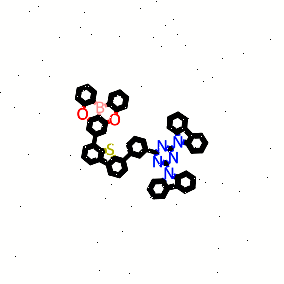 c1cc(-c2nc(-n3c4ccccc4c4ccccc43)nc(-n3c4ccccc4c4ccccc43)n2)cc(-c2cccc3c2sc2c(-c4cc5c6c(c4)Oc4ccccc4B6c4ccccc4O5)cccc23)c1